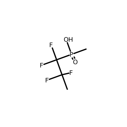 CC(F)(F)C(F)(F)P(C)(=O)O